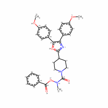 COc1ccc(-c2nc(C3CCN(C(=O)N(C)OC(=O)c4ccccc4)CC3)oc2-c2ccc(OC)cc2)cc1